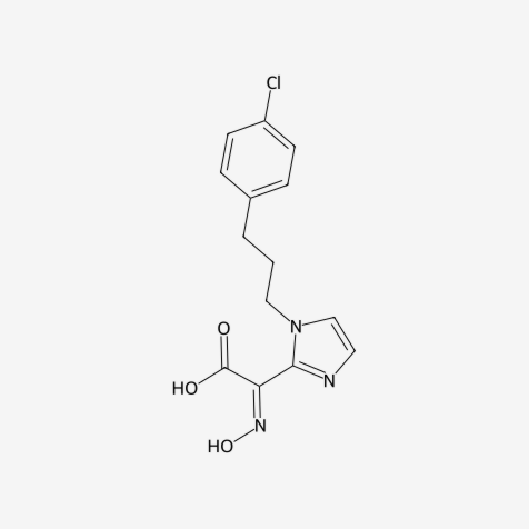 O=C(O)/C(=N\O)c1nccn1CCCc1ccc(Cl)cc1